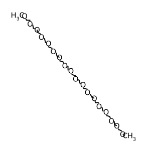 COCCOCCOCCOCCOCCOCCOCCOCCOCCOCCOCCOCCOCCOCCOCCOCCOCCOC